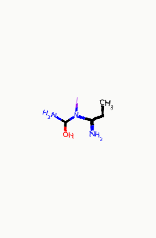 CCC(N)N(I)C(N)O